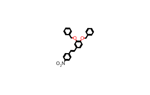 O=[N+]([O-])c1ccc(C=Cc2ccc(OCc3ccccc3)c(OCc3ccccc3)c2)cc1